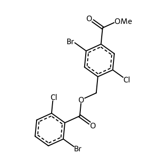 COC(=O)c1cc(Cl)c(COC(=O)c2c(Cl)cccc2Br)cc1Br